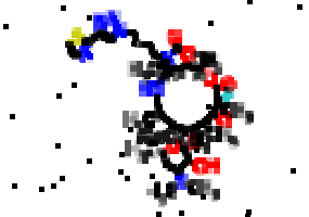 CC[C@H]1OC(=O)C(C)(F)C(=O)[C@@H](C)[C@@H](O[C@@H]2OC(C)CC(N(C)C)C2O)[C@](C)(OC)C[C@@H](C)CN[C@H](C)[C@H]2N(CCCCn3cc(-c4nccs4)nn3)C(=O)O[C@]12C